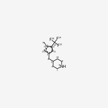 Cn1nc(CC2CCNCC2)cc1C(F)(F)F